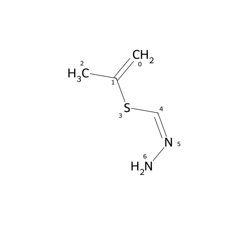 C=C(C)S/C=N\N